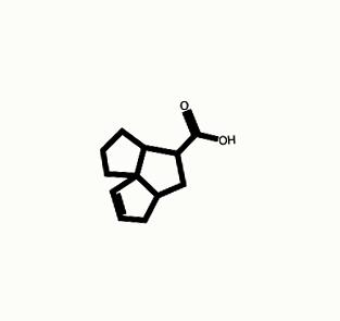 O=C(O)C1CC2CC=CC23CCCC13